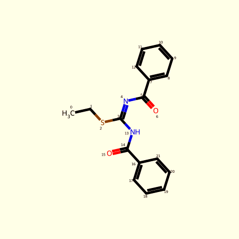 CCS/C(=N/C(=O)c1ccccc1)NC(=O)c1ccccc1